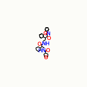 O=C(NCC(C(=O)NCCC(C(=O)c1nc2ccccc2o1)c1ccccc1)C1CCCCC1)C1CCOCC1